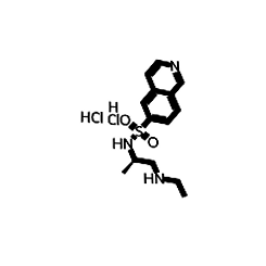 CCNC[C@@H](C)NS(=O)(=O)c1ccc2cnccc2c1.Cl.Cl